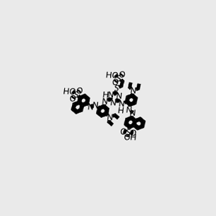 CCN(CC)c1ccc(/N=N/c2ccc(S(=O)(=O)O)c3ccccc23)c(Nc2nc(Nc3cc(N(CC)CC)ccc3/N=N/c3ccc(S(=O)(=O)O)c4ccccc34)nc(SCCS(=O)(=O)O)n2)c1